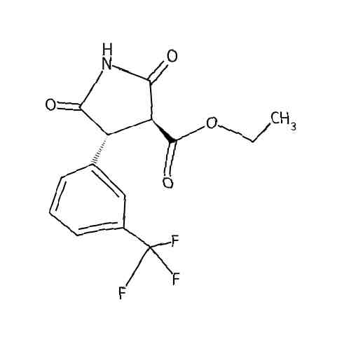 CCOC(=O)[C@@H]1C(=O)NC(=O)[C@H]1c1cccc(C(F)(F)F)c1